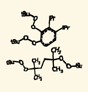 CC(C)(C)OOC(C)(C)CCC(C)(C)OOC(C)(C)C.CC(C)c1ccc(OOC(C)(C)C)c(OOC(C)(C)C)c1C(C)C